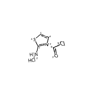 Cl.Nc1nccs1.O=CCl